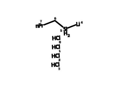 Cl.Cl.Cl.Cl.[Li][SiH2]CCCC